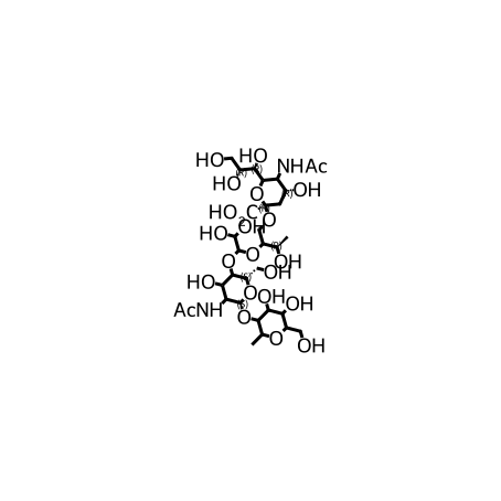 CC(=O)NC1C(O)C(OC(OC(CO[C@]2(C(=O)O)C[C@@H](O)C(NC(C)=O)C([C@H](O)[C@H](O)CO)O2)[C@@H](C)O)C(O)O)[C@H](CO)O[C@H]1OC1C(C)OC(CO)C(O)C1O